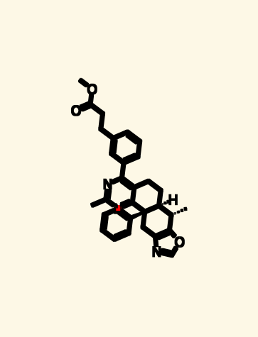 COC(=O)CCc1cccc(-c2nc(C)nc3c2CC[C@H]2[C@H](C)c4ocnc4C[C@]32c2ccccc2)c1